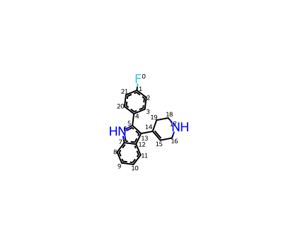 Fc1ccc(-c2[nH]c3ccccc3c2C2=CCNCC2)cc1